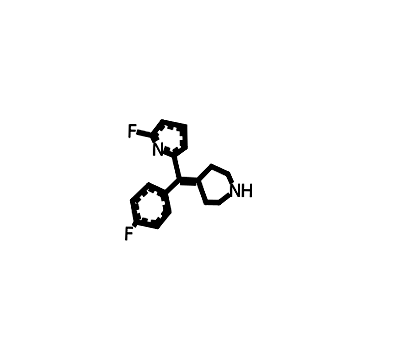 Fc1ccc(C(=C2CCNCC2)c2cccc(F)n2)cc1